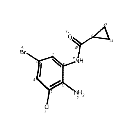 Nc1c(Cl)cc(Br)cc1NC(=O)C1CC1